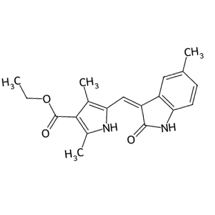 CCOC(=O)c1c(C)[nH]c(/C=C2\C(=O)Nc3ccc(C)cc32)c1C